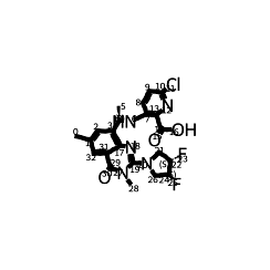 Cc1cc([C@@H](C)Nc2ccc(Cl)nc2C(=O)O)c2nc(N3C[C@H](F)[C@@H](F)C3)n(C)c(=O)c2c1